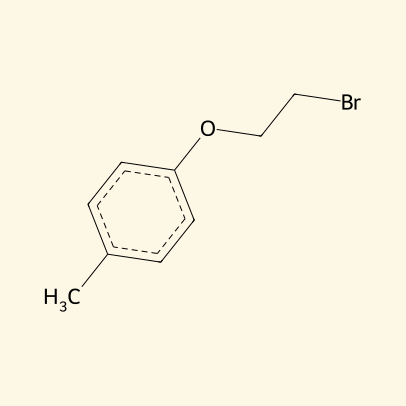 Cc1ccc(OCCBr)cc1